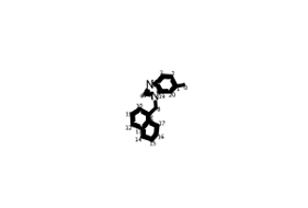 Cc1ccc2n[c]n(Cc3cccc4ccccc34)c2c1